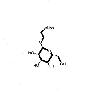 CCCCCCCCCCCO[C@H]1O[C@H](CO)[C@@H](O)[C@H](O)[C@@H]1O